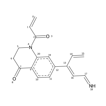 C=CC(=O)N1CCC(=O)c2ccc(/C(C=C)=C/C=N)cc21